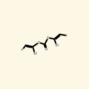 CC/C(=C\F)OC(=O)O/C(=C/F)CC